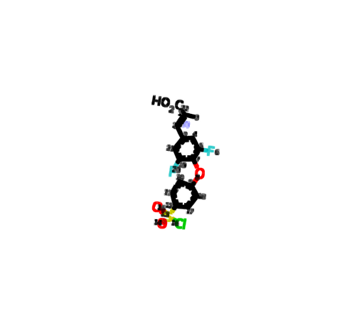 C/C(=C\c1cc(F)c(Oc2ccc(S(=O)(=O)Cl)cc2)c(F)c1)C(=O)O